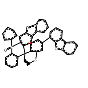 O=P1(c2ccccc2)c2ccccc2C2(c3ccccc3Sc3cc(-c4cccc5c4oc4ccccc45)ccc32)c2cc3c(cc21)oc1ccccc13